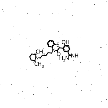 C[C@@H]1CCC[C@H](C)N1CCCCCN1C(=O)C(c2cc(C(=N)N)ccc2O)Sc2ccccc21